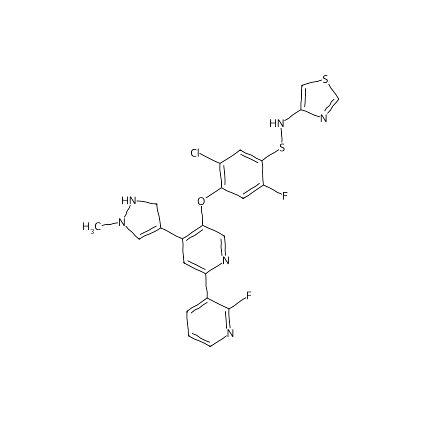 CN1C=C(c2cc(-c3cccnc3F)ncc2Oc2cc(F)c(SNc3cscn3)cc2Cl)CN1